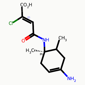 CC1CC(N)=CC[C@@]1(C)NC(=O)/C=C(\Cl)C(=O)O